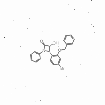 O=C1[C@@H](O)[C@@H](c2ccc(Br)cc2OCc2ccccc2)N1c1ccccc1